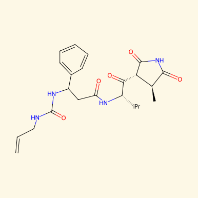 C=CCNC(=O)NC(CC(=O)N[C@H](C(=O)[C@@H]1C(=O)NC(=O)[C@H]1C)C(C)C)c1ccccc1